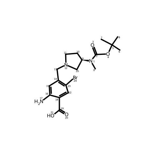 CN(C(=O)OC(C)(C)C)[C@@H]1CCN(Cc2cc(N)c(C(=O)O)cc2Br)C1